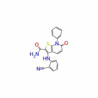 N#Cc1ccccc1Nc1c(C(N)=O)sc2c1ccc(=O)n2-c1ccccc1